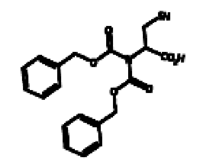 O=C(O)C(CS)N(C(=O)OCc1ccccc1)C(=O)OCc1ccccc1